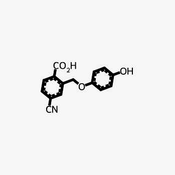 N#Cc1ccc(C(=O)O)c(COc2ccc(O)cc2)c1